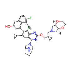 C#Cc1c(F)ccc2cc(O)cc(-c3c(C4CC4)cc4c(N5CC6CCC(C5)N6)nc(OCC5(CN6C[C@@H]7OCCO[C@@H]7C6)CC5)nc4c3F)c12